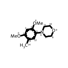 COc1cc(OC)c(N2CCOCC2)cc1C